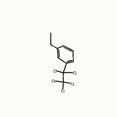 [CH2]Cc1cccc(C(Cl)(Cl)C(Cl)(Cl)Cl)c1